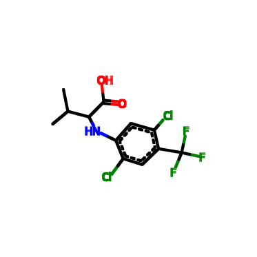 CC(C)C(Nc1cc(Cl)c(C(F)(F)F)cc1Cl)C(=O)O